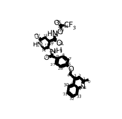 Cc1cc(COc2ccc(C(=O)N[C@@H]3CNC(=O)CC3C(=O)NOC(=O)C(F)(F)F)cc2)c2ccccc2n1